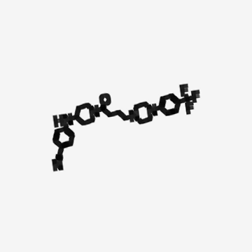 N#Cc1ccc(NC2CCN(C(=O)CCCN3CCN(c4ccc(C(F)(F)F)cc4)CC3)CC2)cc1